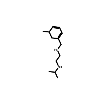 CC1C=CC=C(CNCCNC(C)C)C1